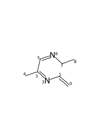 C=C/N=C(C)\C=N/CC